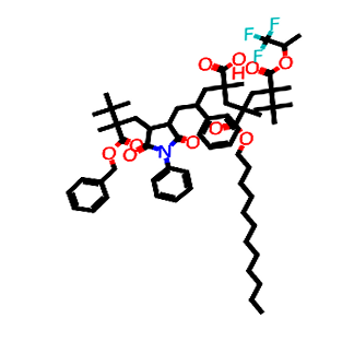 CCCCCCCCCCCCOC(=O)C(C)(CC(C)(CC(CC1C(=O)N(c2ccccc2)C(=O)C1CC(C)(C(=O)OCc1ccccc1)C(C)(C)C)c1ccccc1)C(=O)O)CC(C)(C(=O)OC(C)C(F)(F)F)C(C)(C)C